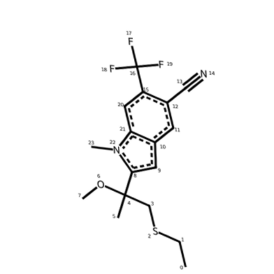 CCSCC(C)(OC)c1cc2cc(C#N)c(C(F)(F)F)cc2n1C